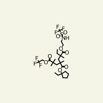 CCC1(OC(=O)C(C)(CC(C)(C)C(=O)OCC(F)(F)F)CC(C)(CC)C(=O)OCCNS(=O)(=O)C(F)(F)F)CCCC1